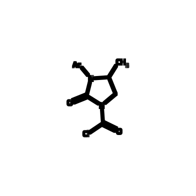 CC(=O)N1C(=O)N(C(=O)Cl)CC1C